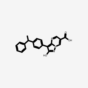 CC(c1ccccc1)c1ccc(-c2c(O)nn3cc(C(=O)O)cnc23)cc1